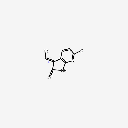 CC/C=C1/C(=O)Nc2nc(Cl)ccc21